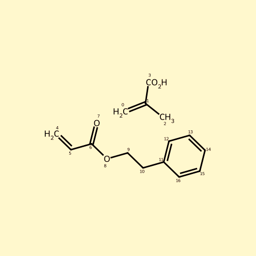 C=C(C)C(=O)O.C=CC(=O)OCCc1ccccc1